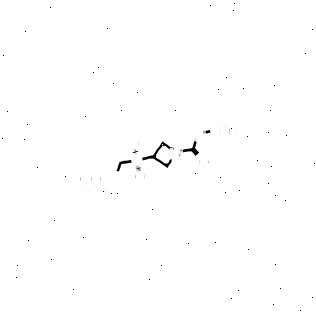 CC(C)(C)OC(=O)N1CC(S(=O)(=O)CC(=O)O)C1